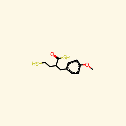 COc1ccc(CC(CCS)C(=O)S)cc1